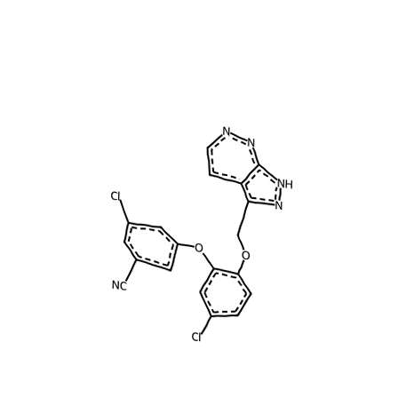 N#Cc1cc(Cl)cc(Oc2cc(Cl)ccc2OCc2n[nH]c3nnccc23)c1